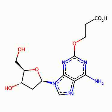 Nc1nc(OCCC(=O)O)nc2c1ncn2[C@H]1C[C@H](O)[C@@H](CO)O1